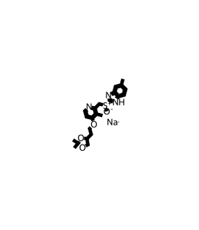 Cc1ccc2[nH]c([S+]([O-])Cc3nccc(OCCC4COC(C)(C)O4)c3C)nc2c1.[Na]